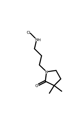 CC1(C)CCN(CCCNCl)C1=O